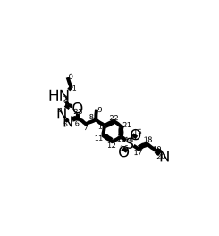 CCNc1nnc(CC(C)c2ccc(S(=O)(=O)/C=C/C#N)cc2)o1